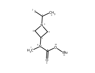 CC(I)N1CC(N(C)C(=O)OC(C)(C)C)C1